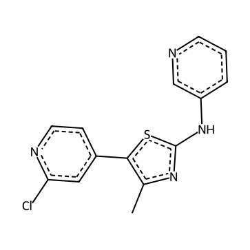 Cc1nc(Nc2cccnc2)sc1-c1ccnc(Cl)c1